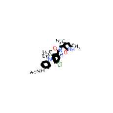 CCN(c1cc(Cl)cc(C(=O)NCC2C(=O)NC(C)CC2C)c1C)C1CCC(NC(C)=O)CC1